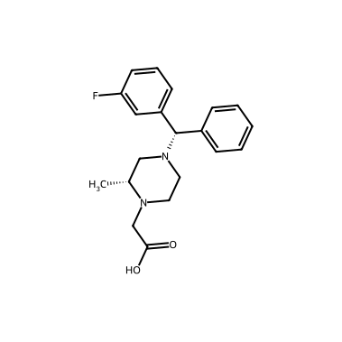 C[C@@H]1CN([C@@H](c2ccccc2)c2cccc(F)c2)CCN1CC(=O)O